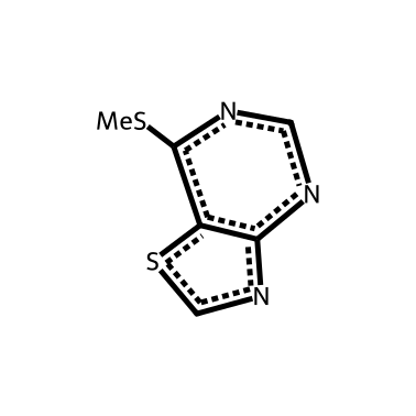 CSc1ncnc2ncsc12